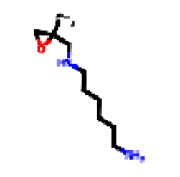 CC1(CNCCCCCCN)CO1